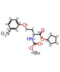 CC(C)(C)OC(=O)N[C@@H](CCOc1cccc([N+](=O)[O-])c1)C(=O)OC1CCCC1